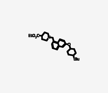 CCOC(=O)C1CCN(Cc2cccc3cc(OC4CCC(C(C)(C)C)CC4)ccc23)CC1